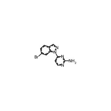 Nc1nccc(-n2ncc3ccc(Br)cc32)n1